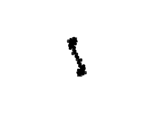 CC1=C(CSCC(=O)OCCOC(=O)CSCC2C3=C(C)C4(CC4)[C@@](C)(O)C(=O)C3CC2C)C2=C(C)C3(CC3)[C@@](C)(O)C(=O)C2=C1